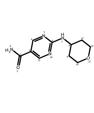 NC(=O)c1cnc(NC2CCOCC2)nc1